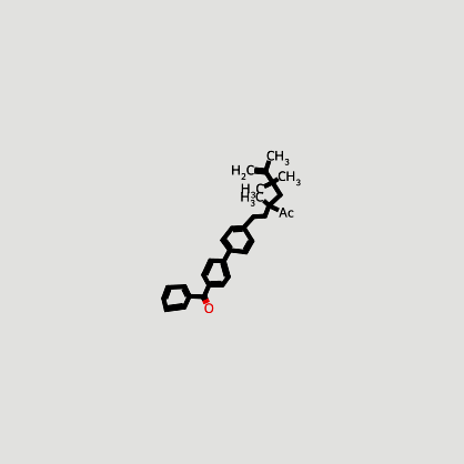 C=C(C)C(C)(C)CC(C)(CCc1ccc(-c2ccc(C(=O)c3ccccc3)cc2)cc1)C(C)=O